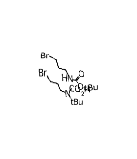 CC(C)(C)N(CCCBr)C(=O)O.CC(C)(C)OC(=O)NCCCBr